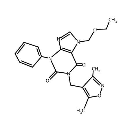 CCOCn1cnc2c1c(=O)n(Cc1c(C)noc1C)c(=O)n2-c1ccccc1